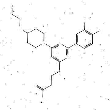 CCCOC1CCN(c2cc(CCCC(=O)O)nc(-c3ccc(Cl)c(F)c3)n2)CC1